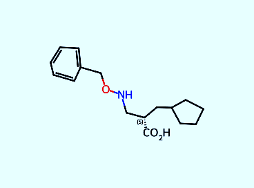 O=C(O)[C@H](CNOCc1ccccc1)CC1CCCC1